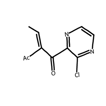 CC=C(C(C)=O)C(=O)c1nccnc1Cl